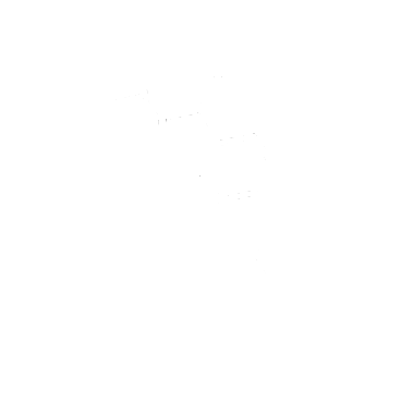 [CH2]OOC(=O)c1ccc(CCC)cc1